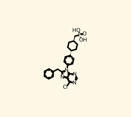 O=P(O)(O)C[C@H]1CC[C@H](c2ccc(-n3c(Cc4ccccc4)nc4c(Cl)ncnc43)cc2)CC1